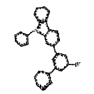 Brc1cc(-c2ccccc2)cc(-c2ccc3c4ccccc4n(-c4ccccc4)c3c2)c1